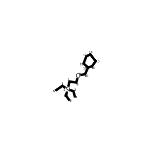 CC[Si](CC)(CC)CCOCC1CCCCC1